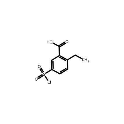 CCc1ccc(S(=O)(=O)Cl)cc1C(=O)O